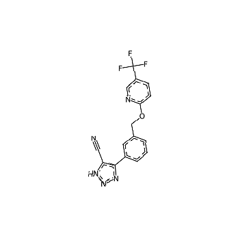 N#Cc1[nH]nnc1-c1cccc(COc2ccc(C(F)(F)F)cn2)c1